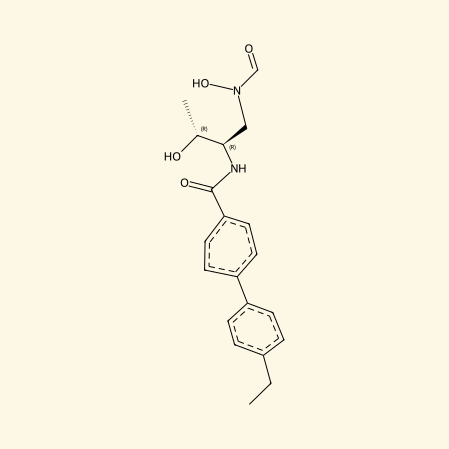 CCc1ccc(-c2ccc(C(=O)N[C@H](CN(O)C=O)[C@@H](C)O)cc2)cc1